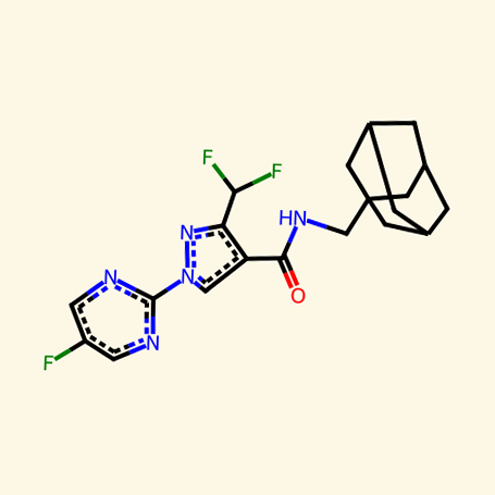 O=C(NCC12CC3CC(CC(C3)C1)C2)c1cn(-c2ncc(F)cn2)nc1C(F)F